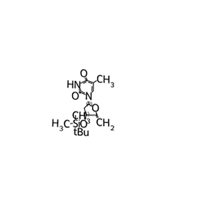 C=C1O[C@@H](n2cc(C)c(=O)[nH]c2=O)C[C@@H]1O[Si](C)(C)C(C)(C)C